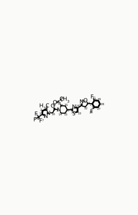 Cc1cc(C(F)(F)F)nn1CC(=O)N1CCC(c2nc(C3=NOC(c4c(F)cccc4F)C3)cs2)CC1[S+](C)[O-]